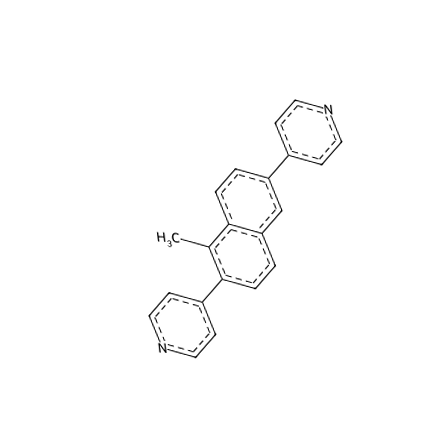 Cc1c(-c2ccncc2)ccc2cc(-c3ccncc3)ccc12